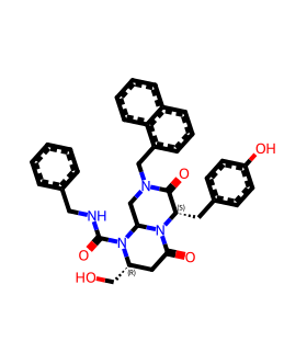 O=C1[C@H](Cc2ccc(O)cc2)N2C(=O)C[C@H](CO)N(C(=O)NCc3ccccc3)C2CN1Cc1cccc2ccccc12